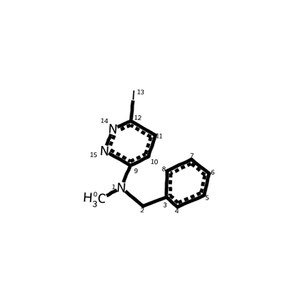 CN(Cc1ccccc1)c1ccc(I)nn1